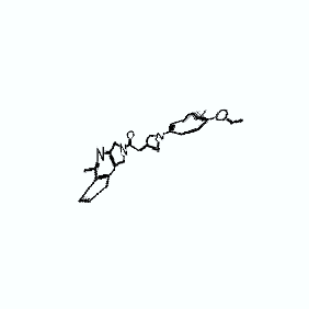 CCOc1ccc(N2CC(CC(=O)N3Cc4nc(C)c5c(c4C3)CCC5)C2)cn1